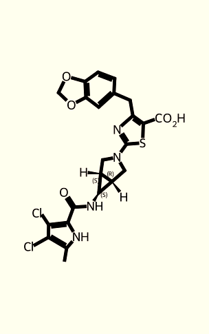 Cc1[nH]c(C(=O)N[C@H]2[C@@H]3CN(c4nc(Cc5ccc6c(c5)OCO6)c(C(=O)O)s4)C[C@@H]32)c(Cl)c1Cl